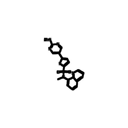 CSc1ncc(-c2ccc(S(=O)(=O)N(C)c3cccc4cccnc34)s2)cn1